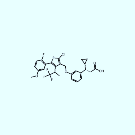 COc1ccc(F)c(-c2sc(Cl)c(COc3cccc([C@@H](CC(=O)O)C4CC4)c3)c2C(C)C(F)(F)F)c1